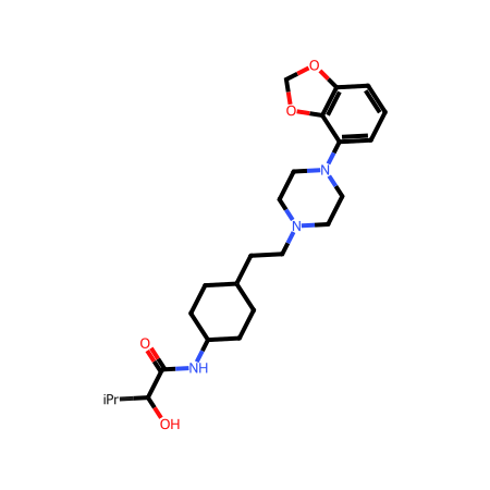 CC(C)C(O)C(=O)NC1CCC(CCN2CCN(c3cccc4c3OCO4)CC2)CC1